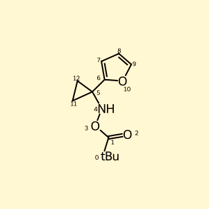 CC(C)(C)C(=O)ONC1(c2ccco2)CC1